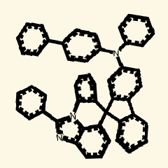 c1ccc(-c2ccc(N(c3ccccc3)c3ccc4c(c3)C3(c5ccccc5-4)c4ccccc4-n4c(-c5ccccc5)nc5cccc3c54)cc2)cc1